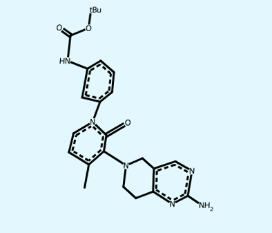 Cc1ccn(-c2cccc(NC(=O)OC(C)(C)C)c2)c(=O)c1N1CCc2nc(N)ncc2C1